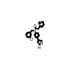 O=C(Cc1cccnn1)N(Cc1cccc(Cl)c1)c1ccc(-c2cn[nH]c2)cc1